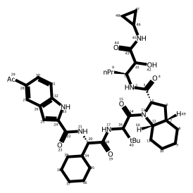 CCC[C@H](NC(=O)[C@@H]1C[C@@H]2CCCC[C@@H]2N1C(=O)C(NC(=O)[C@@H](NC(=O)c1cc2cc(C(C)=O)ccc2[nH]1)C1CCCCC1)C(C)(C)C)C(O)C(=O)NC1CC1